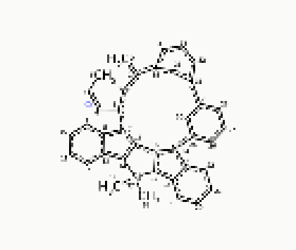 C=c1cc(/C=C\C)n2c3ccccc3c3c2c2c(c4ccccc4n2c2cccc(c2)c2cccc1c2)[Si]3(C)C